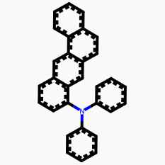 c1ccc(N(c2ccccc2)c2cccc3cc4c(ccc5ccccc54)cc23)cc1